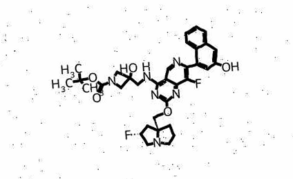 CC(C)(C)OC(=O)N1CC(O)(CNc2nc(OC[C@@]34CCCN3C[C@H](F)C4)nc3c(F)c(-c4cc(O)cc5ccccc45)ncc23)C1